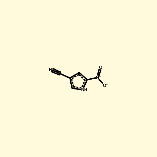 N#Cc1c[nH]c([N+](=O)[O-])c1